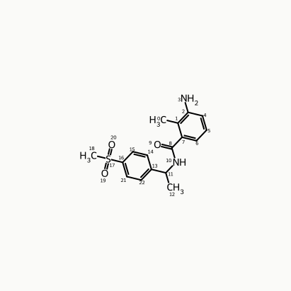 Cc1c(N)cccc1C(=O)NC(C)c1ccc(S(C)(=O)=O)cc1